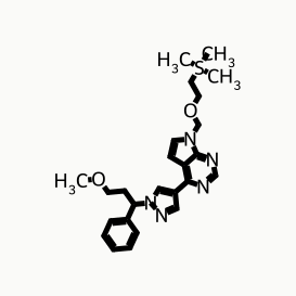 COCCC(c1ccccc1)n1cc(-c2ncnc3c2ccn3COCCS(C)(C)C)cn1